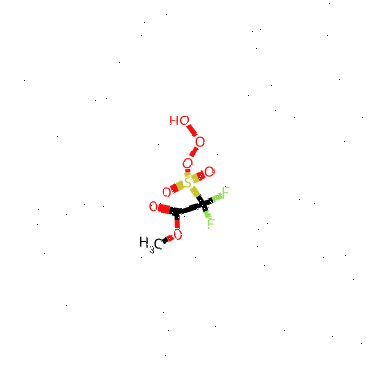 COC(=O)C(F)(F)S(=O)(=O)OOO